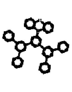 c1ccc(-c2cc(-c3ccccc3)cc(-c3cc(-c4cc(-c5ccccc5)cc(-c5ccccc5)c4)cc(N4c5ccccc5Oc5ccccc54)c3)c2)cc1